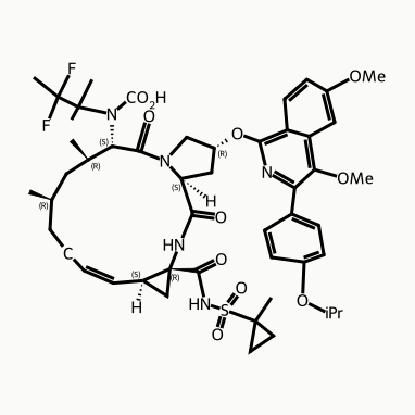 COc1ccc2c(O[C@@H]3C[C@H]4C(=O)N[C@]5(C(=O)NS(=O)(=O)C6(C)CC6)C[C@H]5C=CCC[C@@H](C)C[C@@H](C)[C@H](N(C(=O)O)C(C)(C)C(C)(F)F)C(=O)N4C3)nc(-c3ccc(OC(C)C)cc3)c(OC)c2c1